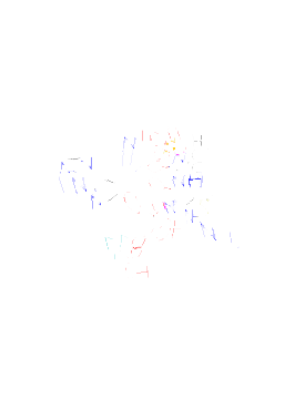 CC1(C)[C@H](NC(=O)/C(=N\O[C@@H](COc2ccc(Nc3nccn3CCCN)nc2)C(=O)O)c2csc(N)n2)C(=O)N1OS(=O)(=O)O.O=C(O)C(F)(F)F